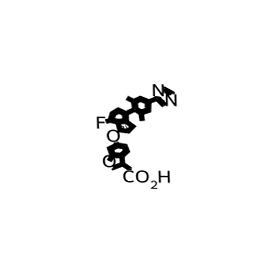 Cc1cc(-c2cnccn2)cc(C)c1-c1ccc(F)c2c1CC[C@H]2Oc1ccc2c(c1)OCC2CC(=O)O